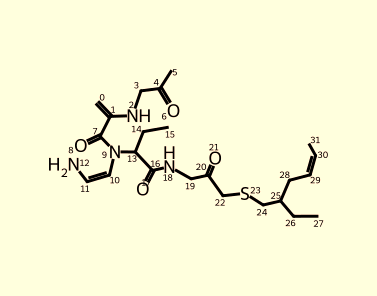 C=C(NCC(C)=O)C(=O)N(/C=C\N)C(CC)C(=O)NCC(=O)CSCC(CC)C/C=C\C